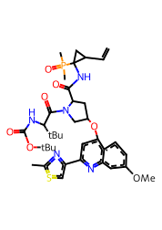 C=CC1CC1(NC(=O)C1CC(Oc2cc(-c3csc(C)n3)nc3cc(OC)ccc23)CN1C(=O)C(NC(=O)OC(C)(C)C)C(C)(C)C)P(C)(C)=O